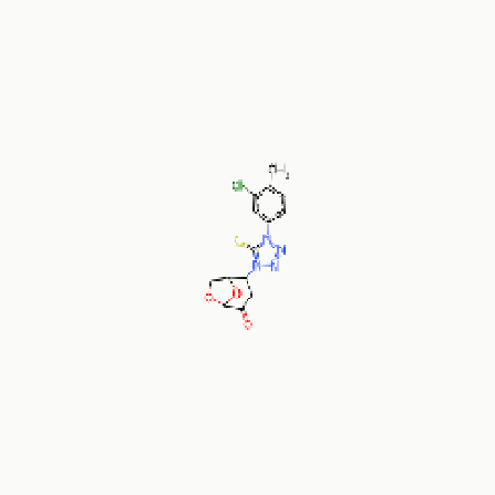 Cc1ccc(-n2nnn(C3CC(=O)C4OCC3O4)c2=S)cc1Cl